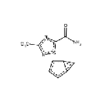 NC(=O)c1nc(C(Cl)(Cl)Cl)ns1.c1cc2cc-2c1